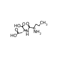 CCC[C@H](N)C(=O)N[C@H](CC(=O)O)C(=O)O